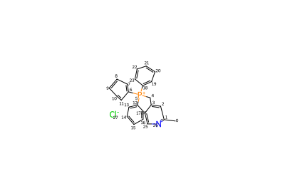 Cc1cc(C[P+](c2ccccc2)(c2ccccc2)c2ccccc2)ccn1.[Cl-]